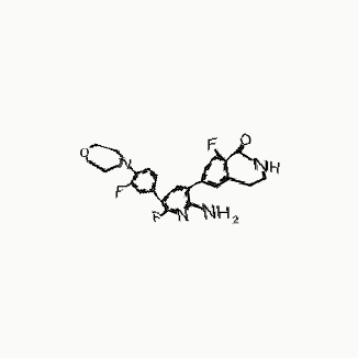 Nc1nc(F)c(-c2ccc(N3CCOCC3)c(F)c2)cc1-c1cc(F)c2c(c1)CCNC2=O